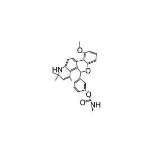 CNC(=O)Oc1cccc(C2Oc3cccc(OC)c3-c3ccc4c(c32)C(C)=CC(C)(C)N4)c1